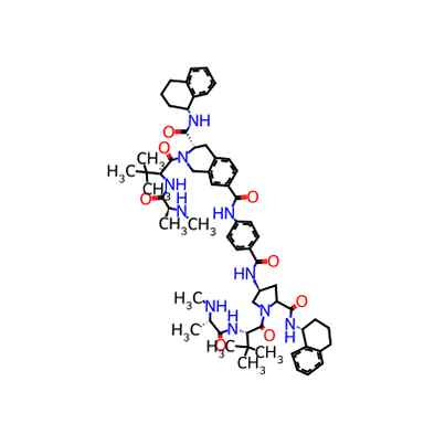 CN[C@@H](C)C(=O)NC(C(=O)N1Cc2cc(C(=O)Nc3ccc(C(=O)N[C@H]4CC(C(=O)N[C@@H]5CCCc6ccccc65)N(C(=O)[C@@H](NC(=O)[C@H](C)NC)C(C)(C)C)C4)cc3)ccc2C[C@H]1C(=O)N[C@@H]1CCCc2ccccc21)C(C)(C)C